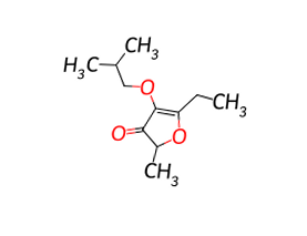 CCC1=C(OCC(C)C)C(=O)C(C)O1